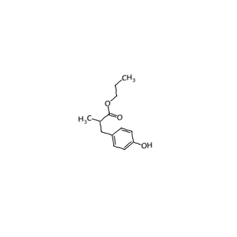 CCCOC(=O)C(C)Cc1ccc(O)cc1